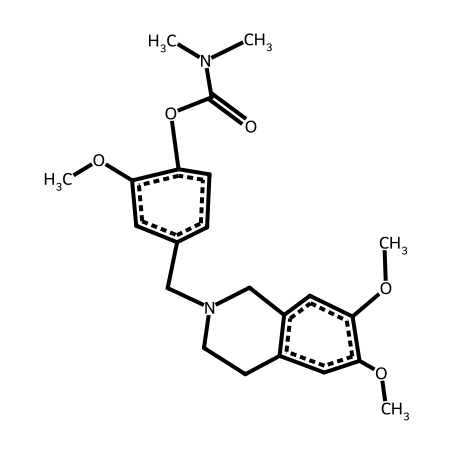 COc1cc2c(cc1OC)CN(Cc1ccc(OC(=O)N(C)C)c(OC)c1)CC2